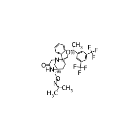 CC(C)=NOC[C@]12CC[C@@](CO[C@H](C)c3cc(C(F)(F)F)cc(C(F)(F)F)c3)(c3ccccc3)N(CC(=O)N1)C2